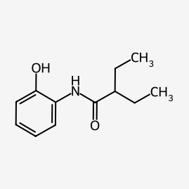 CCC(CC)C(=O)Nc1ccccc1O